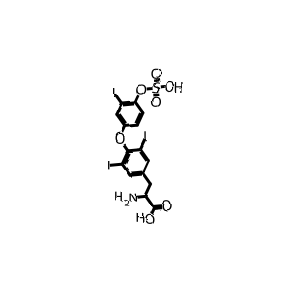 NC(Cc1cc(I)c(Oc2ccc(OS(=O)(=O)O)c(I)c2)c(I)c1)C(=O)O